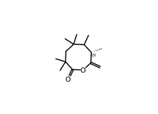 C=C1OC(=O)C(C)(C)CC(C)(C)C(C)[C@@H]1C